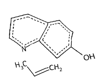 C=CC.Oc1ccc2cccnc2c1